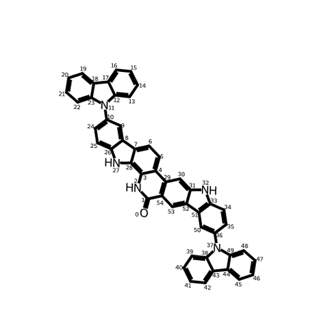 O=c1[nH]c2c(ccc3c4cc(-n5c6ccccc6c6ccccc65)ccc4[nH]c32)c2cc3[nH]c4ccc(-n5c6ccccc6c6ccccc65)cc4c3cc12